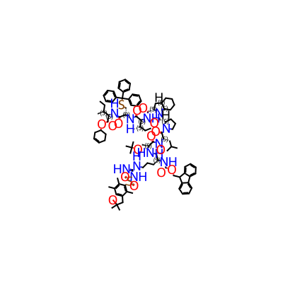 CC[C@H](C)[C@H](NC(=O)[C@@H]1C[C@@H]2CCCC[C@@H]2N1C(=O)[C@@H]1CCCN1C(=O)[C@H](CC(C)C)NC(=O)[C@H](COC(C)(C)C)NC(=O)[C@H](CCCNC(=N)NS(=O)(=O)c1c(C)c(C)c2c(c1C)CC(C)(C)O2)NC(=O)OCC1c2ccccc2-c2ccccc21)C(=O)N[C@@H](CSC(c1ccccc1)(c1ccccc1)c1ccccc1)C(=O)N[C@H](C(=O)OC1CC=CCC1)[C@@H](C)CC